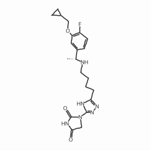 C[C@@H](NCCCCc1nnc(N2CC(=O)NC2=O)[nH]1)c1ccc(F)c(OCC2CC2)c1